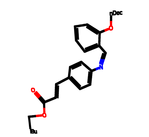 CCCCCCCCCCOc1ccccc1/C=N\c1ccc(/C=C/C(=O)OCC(C)CC)cc1